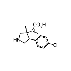 CN(C(=O)O)[C@@]1(C)CNC[C@@H]1c1ccc(Cl)cc1